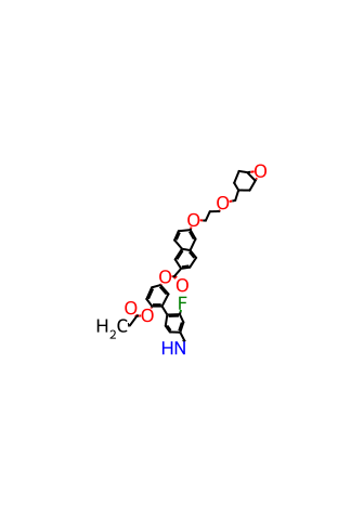 C=CC(=O)Oc1ccc(OC(=O)c2ccc3cc(OCCCOCC4CCC5OC5C4)ccc3c2)cc1-c1ccc(C=N)cc1F